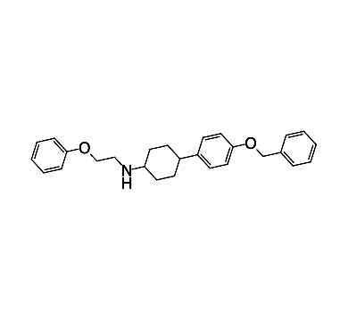 c1ccc(COc2ccc(C3CCC(NCCOc4ccccc4)CC3)cc2)cc1